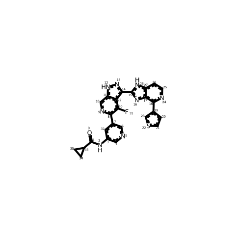 O=C(Nc1cncc(-c2ncc3[nH]nc(-c4nc5c(-c6ccsc6)nccc5[nH]4)c3c2F)c1)C1CC1